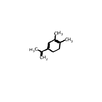 C=C(C)C1=CC(C)=C(C)CC1